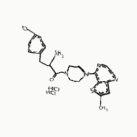 Cc1cc2ncnc(N3CCN(C(=O)C(N)Cc4ccc(Cl)cc4)CC3)c2s1.Cl.Cl